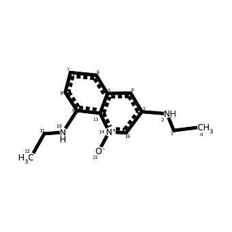 CCNc1cc2cccc(NCC)c2[n+]([O-])c1